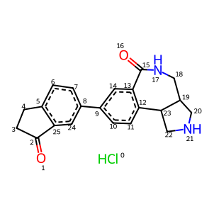 Cl.O=C1CCc2ccc(-c3ccc4c(c3)C(=O)NCC3CNCC43)cc21